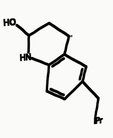 CC(C)Cc1ccc2c(c1)[CH]CC(O)N2